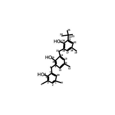 Cc1cc(C)c(O)c(Cc2cc(C)cc(Cc3cc(C)cc(C(C)(C)C)c3O)c2O)c1